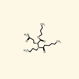 CCCCCC(=O)N(CCCC)[C@@H](CCC(N)=O)C(=O)OCCCC